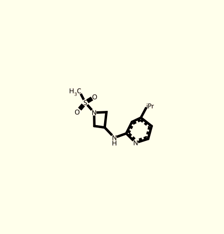 CC(C)c1ccnc(NC2CN(S(C)(=O)=O)C2)c1